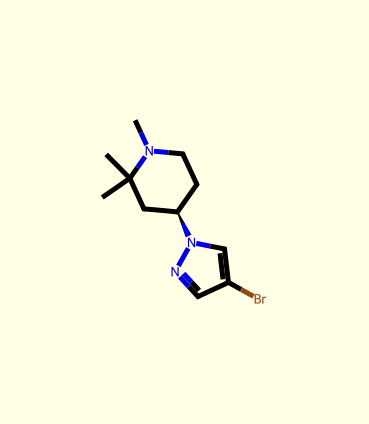 CN1CC[C@@H](n2cc(Br)cn2)CC1(C)C